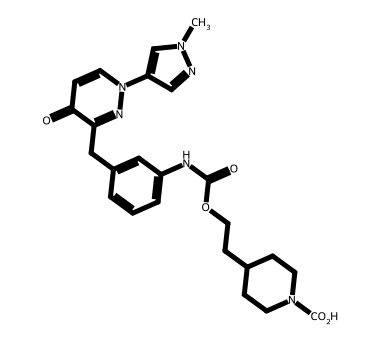 Cn1cc(-n2ccc(=O)c(Cc3cccc(NC(=O)OCCC4CCN(C(=O)O)CC4)c3)n2)cn1